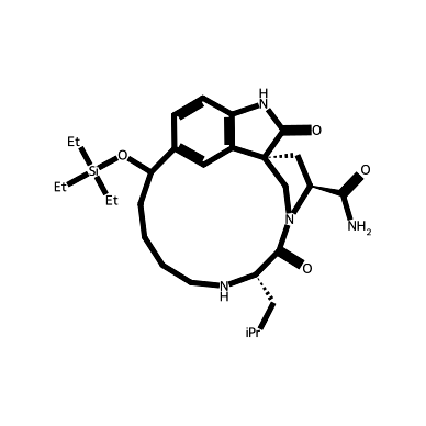 CC[Si](CC)(CC)OC1CCCCN[C@@H](CC(C)C)C(=O)N2C[C@]3(C[C@H]2C(N)=O)C(=O)Nc2ccc1cc23